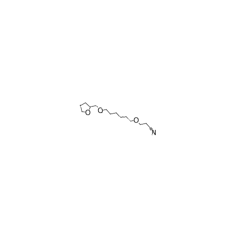 N#CCCOCCCCCCOCC1CCCO1